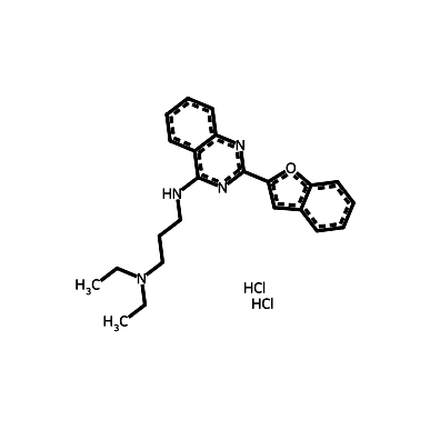 CCN(CC)CCCNc1nc(-c2cc3ccccc3o2)nc2ccccc12.Cl.Cl